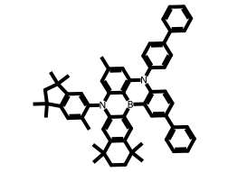 Cc1cc2c3c(c1)N(c1cc4c(cc1C)C(C)(C)CC4(C)C)c1cc4c(cc1B3c1cc(-c3ccccc3)ccc1N2c1ccc(-c2ccccc2)cc1)C(C)(C)CCC4(C)C